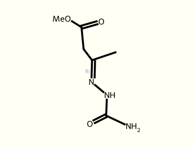 COC(=O)C/C(C)=N/NC(N)=O